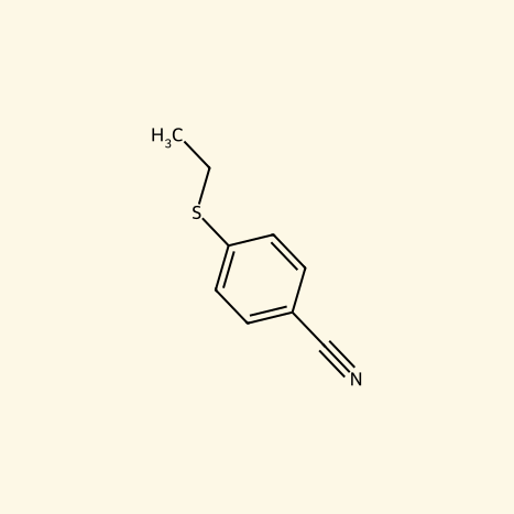 CCSc1ccc(C#N)cc1